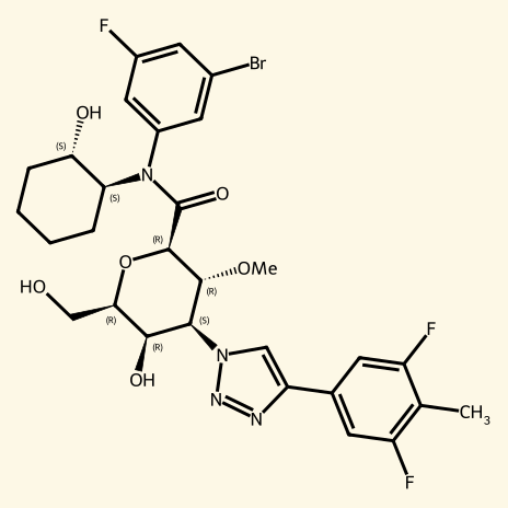 CO[C@@H]1[C@@H](n2cc(-c3cc(F)c(C)c(F)c3)nn2)[C@@H](O)[C@@H](CO)O[C@H]1C(=O)N(c1cc(F)cc(Br)c1)[C@H]1CCCC[C@@H]1O